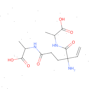 C=CC(N)(CCC(=O)NC(C)C(=O)O)C(=O)NC(C)C(=O)O